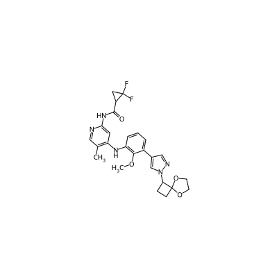 COc1c(Nc2cc(NC(=O)C3CC3(F)F)ncc2C)cccc1-c1cnn(C2CCC23OCCO3)c1